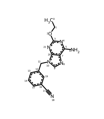 CCOc1nc(N)c2ncn(Cc3cccc(C#N)c3)c2n1